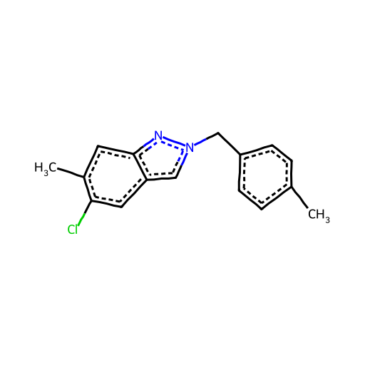 Cc1ccc(Cn2cc3cc(Cl)c(C)cc3n2)cc1